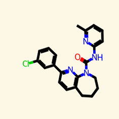 Cc1cccc(NC(=O)N2CCCCc3ccc(-c4cccc(Cl)c4)nc32)n1